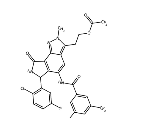 Cn1nc2c3c(c(NC(=O)c4cc(F)cc(C(F)(F)F)c4)cc2c1CCOC(=O)C(F)(F)F)C(c1cc(F)ccc1Cl)NC3=O